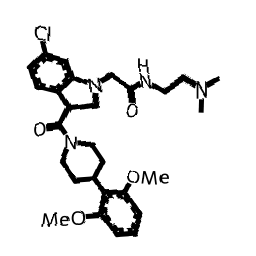 COc1cccc(OC)c1C1CCN(C(=O)C2CN(CC(=O)NCCN(C)C)c3cc(Cl)ccc32)CC1